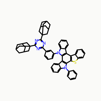 c1ccc(-n2c3ccccc3c3c2c2sc4ccccc4c2c2c4ccccc4n(-c4cccc(-c5nc(C67CC8CC(CC(C8)C6)C7)nc(C67CC8CC(CC(C8)C6)C7)n5)c4)c23)cc1